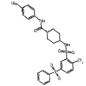 CC(C)(C)c1ccc(NC(=O)N2CCC(NS(=O)(=O)c3cc(S(=O)(=O)c4ccccc4)ccc3C(F)(F)F)CC2)cc1